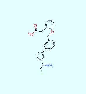 NC(CF)c1cccc(-c2cccc(COc3ccccc3CC(=O)O)c2)c1